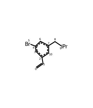 C=[C]c1cc(Br)cc(CC(C)C)c1